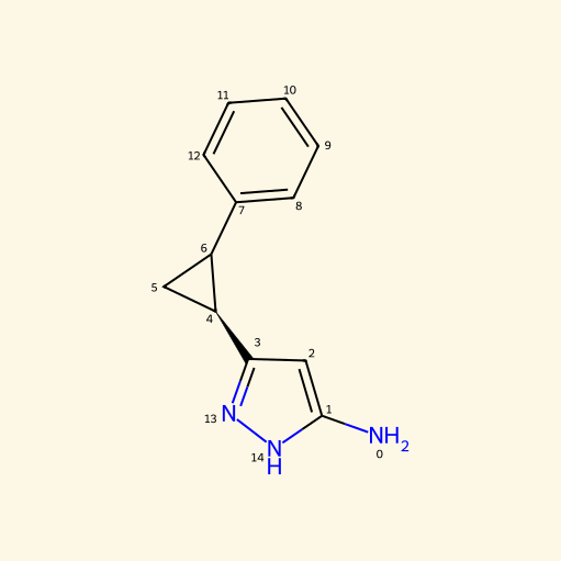 Nc1cc([C@H]2CC2c2ccccc2)n[nH]1